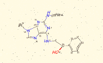 CCCCCCNc1nc(NC[C@H](O)c2ccccc2)c2ncn(C(C)C)c2n1